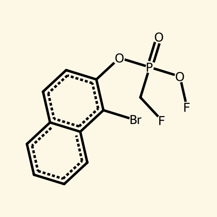 O=P(CF)(OF)Oc1ccc2ccccc2c1Br